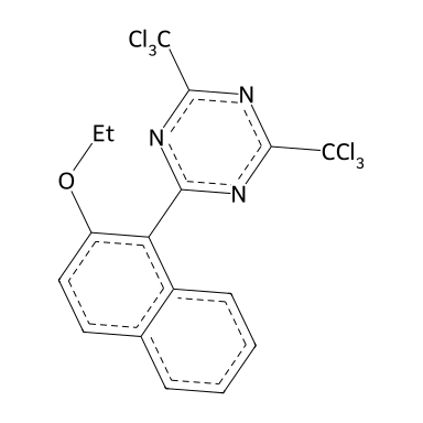 CCOc1ccc2ccccc2c1-c1nc(C(Cl)(Cl)Cl)nc(C(Cl)(Cl)Cl)n1